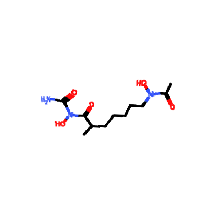 CC(=O)N(O)CCCCCC(C)C(=O)N(O)C(N)=O